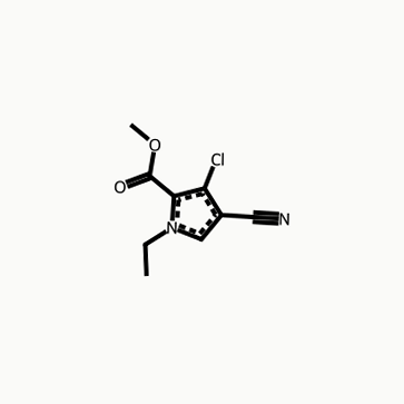 CCn1cc(C#N)c(Cl)c1C(=O)OC